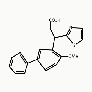 COc1ccc(-c2ccccc2)cc1C(CC(=O)O)c1nccs1